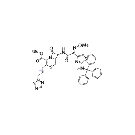 CON=C(C(=O)NC1C(=O)N2C(C(=O)OC(C)(C)C)=C(/C=C/Cn3ncnn3)SCC12)c1csc(NC(c2ccccc2)(c2ccccc2)c2ccccc2)n1